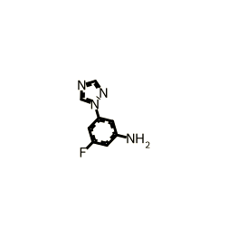 Nc1cc(F)cc(-n2cncn2)c1